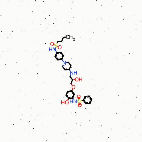 CCCCS(=O)(=O)Nc1ccc(N2CCC(NC[C@@H](O)COc3ccc(O)c(NS(=O)(=O)c4ccccc4)c3)CC2)cc1